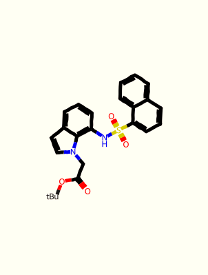 CC(C)(C)OC(=O)Cn1ccc2cccc(NS(=O)(=O)c3cccc4ccccc34)c21